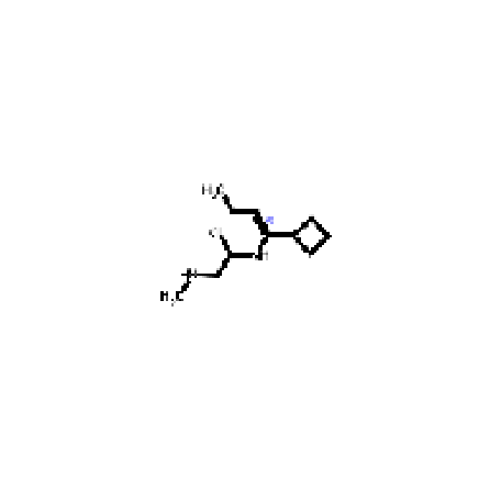 CC/C=C(\NC(Cl)CNC)C1CCC1